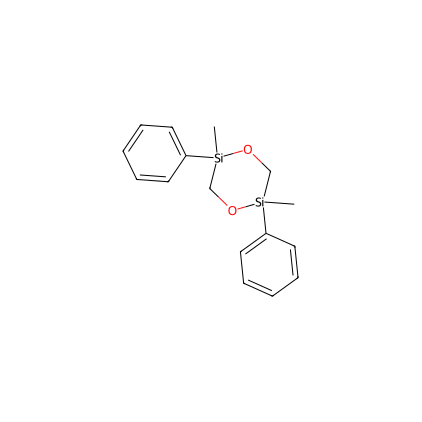 C[Si]1(c2ccccc2)CO[Si](C)(c2ccccc2)CO1